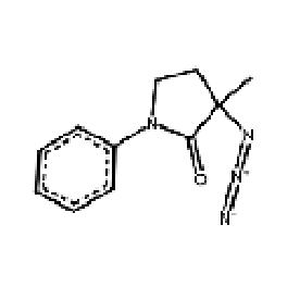 CC1(N=[N+]=[N-])CCN(c2ccccc2)C1=O